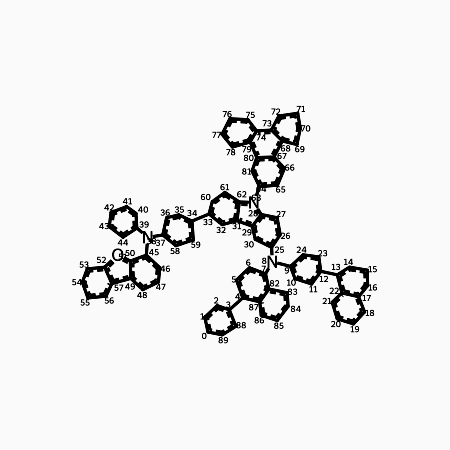 c1ccc(-c2ccc(N(c3ccc(-c4cccc5ccccc45)cc3)c3ccc4c(c3)c3cc(-c5ccc(N(c6ccccc6)c6cccc7c6oc6ccccc67)cc5)ccc3n4-c3ccc4c5ccccc5c5ccccc5c4c3)c3ccccc23)cc1